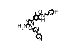 Cc1cc(-c2cnc(N)c(Oc3cnn(C4CCN(C)CC4)c3)n2)cc(C)c1C(=O)NCCN1CC[C@@H](F)C1